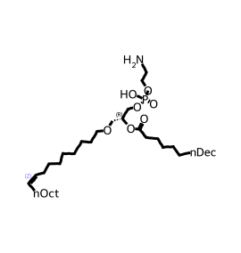 CCCCCCCC/C=C\CCCCCCCCOC[C@H](COP(=O)(O)OCCN)OC(=O)CCCCCCCCCCCCCCC